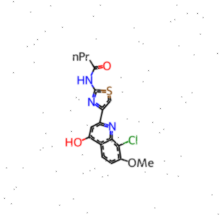 CCCC(=O)Nc1nc(-c2cc(O)c3ccc(OC)c(Cl)c3n2)cs1